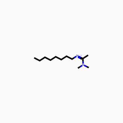 CCCCCCCC/N=C(/C)N(C)C